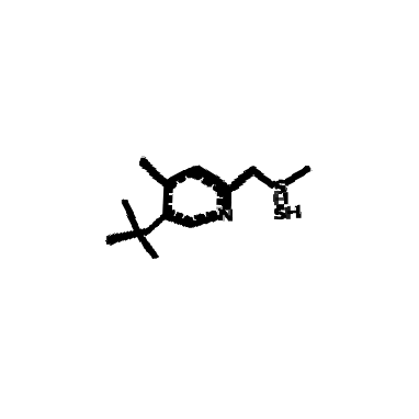 Cc1cc(C[SH](C)S)ncc1C(C)(C)C